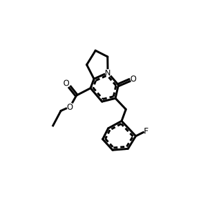 CCOC(=O)c1cc(Cc2ccccc2F)c(=O)n2c1CCC2